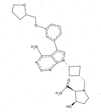 NC(=O)[C@@H]1[C@H](O)CCN1C[C@H]1C[C@@H](n2cc(-c3cccc(OCC4CCCO4)c3)c3c(N)ncnc32)C1